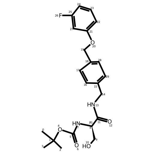 CC(C)(C)OC(=O)N[C@H](CO)C(=O)NCc1ccc(COc2cccc(F)c2)cc1